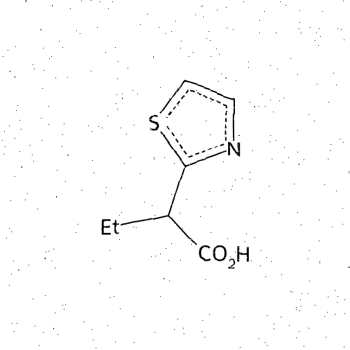 CCC(C(=O)O)c1nccs1